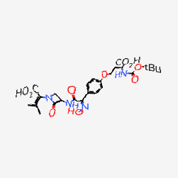 CC(C)=C(C(=O)O)N1CC(NC(=O)C(=NO)c2ccc(OCCC(NC(=O)OC(C)(C)C)C(=O)O)cc2)C1=O